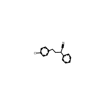 N#CC(CCc1ccc(Cl)cc1)c1ccccc1